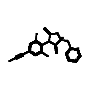 CC#Cc1cc(C)c(C2C(=O)C[C@H](Cc3ccccn3)C2=O)c(C)c1